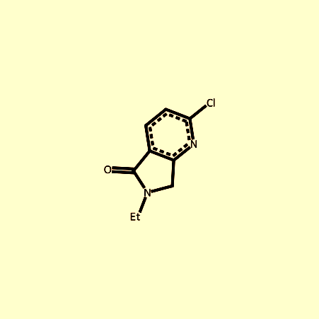 CCN1Cc2nc(Cl)ccc2C1=O